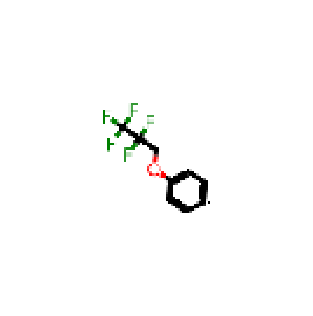 FC(F)(F)C(F)(F)COc1cc[c]cc1